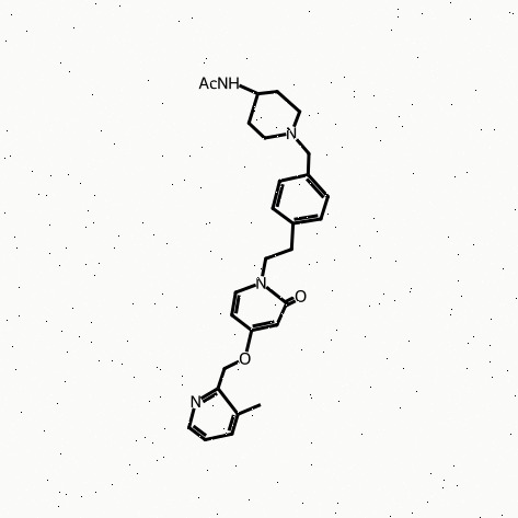 CC(=O)NC1CCN(Cc2ccc(CCn3ccc(OCc4ncccc4C)cc3=O)cc2)CC1